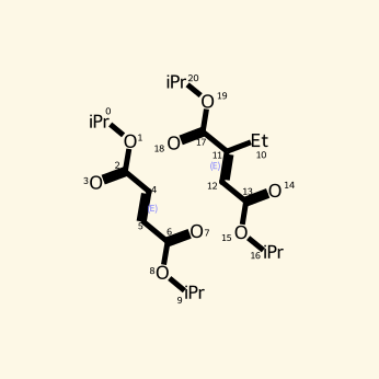 CC(C)OC(=O)/C=C/C(=O)OC(C)C.CC/C(=C\C(=O)OC(C)C)C(=O)OC(C)C